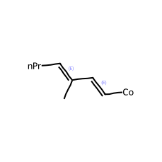 CCC/C=C(C)/C=[CH]/[Co]